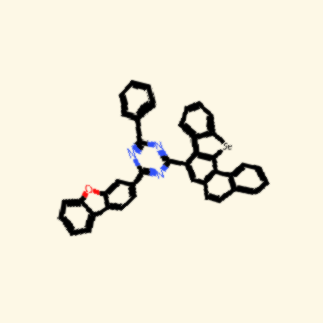 c1ccc(-c2nc(-c3ccc4c(c3)oc3ccccc34)nc(-c3cc4ccc5ccccc5c4c4[se]c5ccccc5c34)n2)cc1